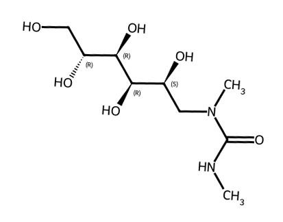 CNC(=O)N(C)C[C@H](O)[C@@H](O)[C@H](O)[C@H](O)CO